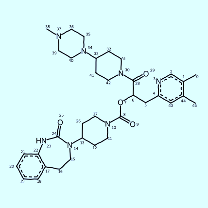 Cc1cnc(CC(OC(=O)N2CCC(N3CCc4ccccc4NC3=O)CC2)C(=O)N2CCC(N3CCN(C)CC3)CC2)cc1C